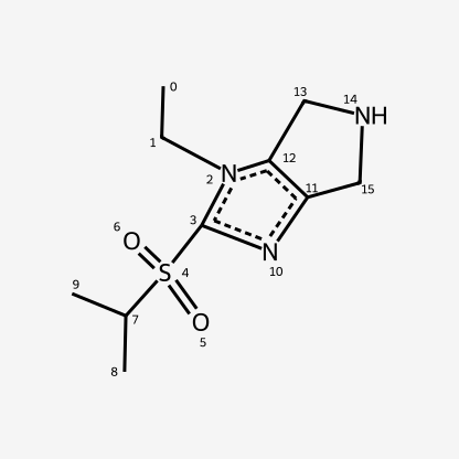 CCn1c(S(=O)(=O)C(C)C)nc2c1CNC2